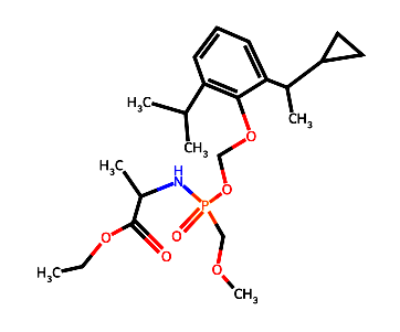 CCOC(=O)C(C)NP(=O)(COC)OCOc1c(C(C)C)cccc1C(C)C1CC1